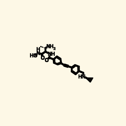 C[C@H](N)C(NC(=O)c1ccc(C#Cc2ccc(CNC3CC3)cc2)cc1)C(=O)NO